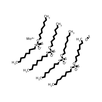 CCCCCCCCOP([O-])(=S)SCCCCCCCC.CCCCCCCCOP([O-])(=S)SCCCCCCCC.CCCCCCCCOP([O-])(=S)SCCCCCCCC.CCCCCCCCOP([O-])(=S)SCCCCCCCC.O=S.[Mo+4]